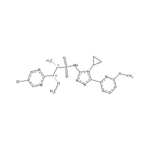 COc1cccc(-c2nnc(NS(=O)(=O)[C@@H](C)[C@H](OC)c3ncc(Cl)cn3)n2C2CC2)n1